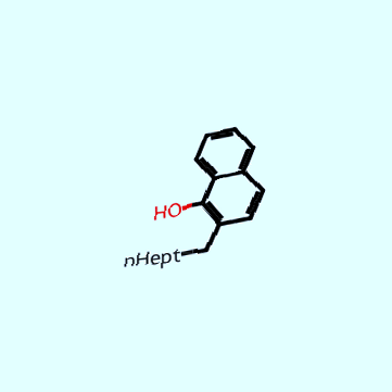 CCCCCCCCc1ccc2ccccc2c1O